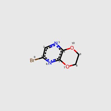 Brc1cnc2c(n1)OCCO2